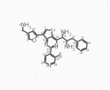 NCc1coc(-c2csc3c(C(N)C(N)Cc4ccccc4)nc(-c4ccncc4F)nc23)c1